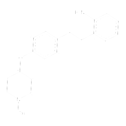 CC(C)(C)N1CCC(Oc2ccc(CCc3ccccc3N)cc2)CC1